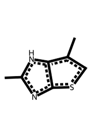 Cc1nc2scc(C)c2[nH]1